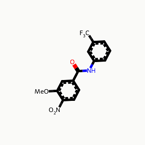 COc1cc(C(=O)Nc2cccc(C(F)(F)F)c2)ccc1[N+](=O)[O-]